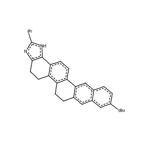 CC(C)c1nc2c([nH]1)-c1ccc3c(c1CC2)CCc1cc2cc(C(C)(C)C)ccc2cc1-3